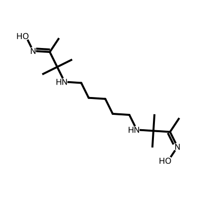 CC(=NO)C(C)(C)NCCCCCNC(C)(C)C(C)=NO